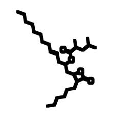 CCCCCCCC/C=C/CC(CC1OC(=O)C1CCCCCC)OC(=O)C(C)CC(C)C